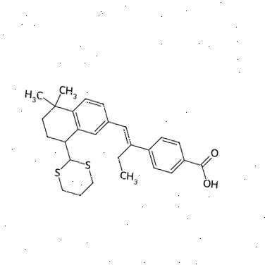 CCC(=Cc1ccc2c(c1)C(C1SCCCS1)CCC2(C)C)c1ccc(C(=O)O)cc1